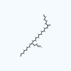 CCCCCCCCN(CCN)CCCCCCCCCCC(C)CCCCC